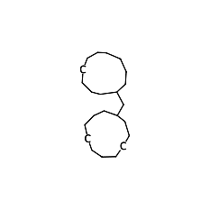 C1CCCCCC(CC2CCCCCCCCCC2)CCCC1